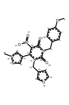 COc1ccc(Cn2c(=O)c([N+](=O)[O-])c(-c3cnn(C)c3)n(Cc3ccoc3)c2=O)cc1